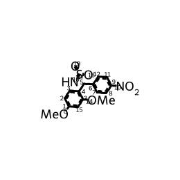 COc1ccc(Cc2ccc([N+](=O)[O-])cc2)c(OC)c1.N=S(=O)=O